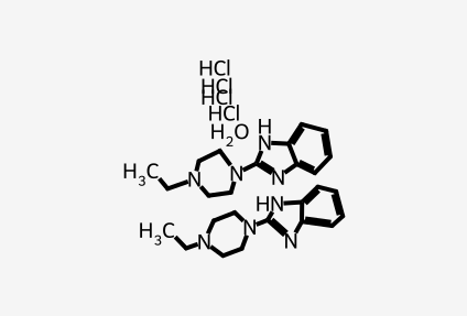 CCN1CCN(c2nc3ccccc3[nH]2)CC1.CCN1CCN(c2nc3ccccc3[nH]2)CC1.Cl.Cl.Cl.Cl.O